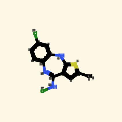 Cc1cc2c(s1)Nc1cc(Cl)ccc1N=C2NCl